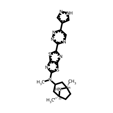 CN(c1nc2sc(-c3ncc(-c4cn[nH]c4)nn3)nc2s1)C1C[C@]2(C)CC[C@](C)(C1)N2